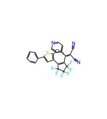 Cc1sc(-c2ccccc2)cc1C1=C(C(=C(C#N)C#N)c2ccncc2)C(F)(F)C(F)(F)C1(F)F